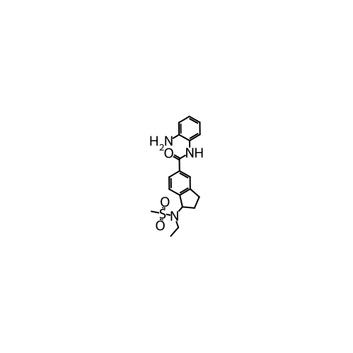 CCN(C1CCc2cc(C(=O)Nc3ccccc3N)ccc21)S(C)(=O)=O